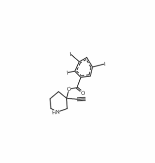 C#CC1(OC(=O)c2cc(I)cc(I)c2I)CCCNC1